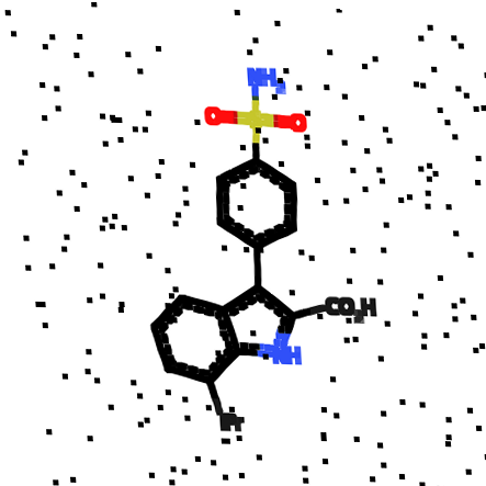 CC(C)c1cccc2c(-c3ccc(S(N)(=O)=O)cc3)c(C(=O)O)[nH]c12